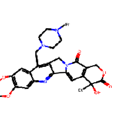 CCC1(O)C(=O)OCc2c1cc1n(c2=O)Cc2c-1nc1cc3c(cc1c2CN1CCN(C(C)C)CC1)OCCO3